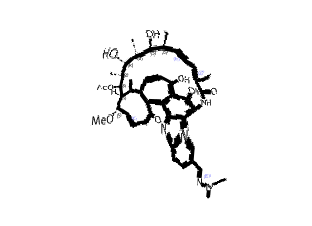 CO[C@H]1/C=C/CC(=O)C2=c3c4c(O)c(c5c3nc3ccc(/C=N/N(C)C)cn35)NC(=O)/C(C)=C\C=C\[C@H](C)[C@H](O)[C@@H](C)[C@@H](O)[C@@H](C)[C@H](OC(C)=O)[C@H]1C(C)C2C#CC=4O